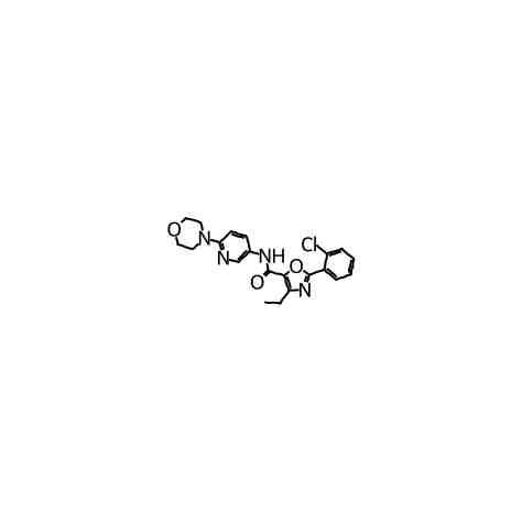 CCc1nc(-c2ccccc2Cl)oc1C(=O)Nc1ccc(N2CCOCC2)nc1